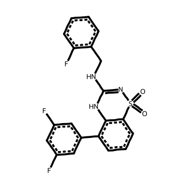 O=S1(=O)N=C(NCc2ccccc2F)Nc2c(-c3cc(F)cc(F)c3)cccc21